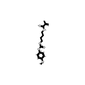 C=C(C)C(=O)OCCCCOC(=O)Oc1ccc(OC)cc1